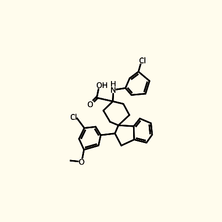 COc1cc(Cl)cc(C2Cc3ccccc3C23CCC(Nc2cccc(Cl)c2)(C(=O)O)CC3)c1